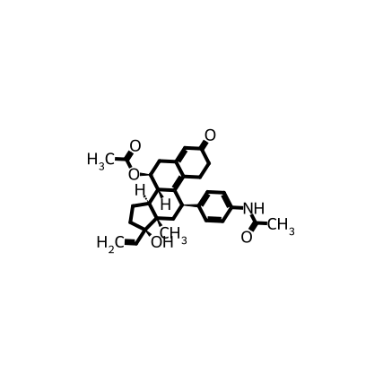 C=C[C@]1(O)CC[C@H]2[C@H]3C(=C4CCC(=O)C=C4C[C@@H]3OC(C)=O)[C@@H](c3ccc(NC(C)=O)cc3)C[C@@]21C